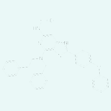 CCOC(=O)Nc1cc2[nH]c(-c3ccc(Oc4ccccc4)cc3)nc2c(N(CCc2ccccc2)Cc2ccccc2)n1